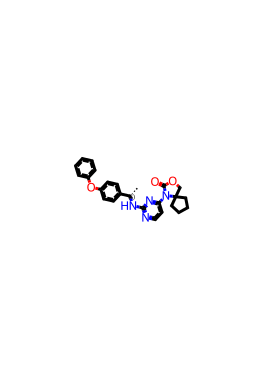 C[C@H](Nc1nccc(N2C(=O)OCC23CCCC3)n1)c1ccc(Oc2ccccc2)cc1